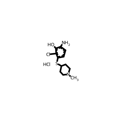 CN1CCC(Sc2ccc(N)c(O)c2Cl)CC1.Cl